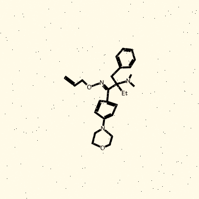 C=CCO/N=C(\c1ccc(N2CCOCC2)cc1)C(CC)(Cc1ccccc1)N(C)C